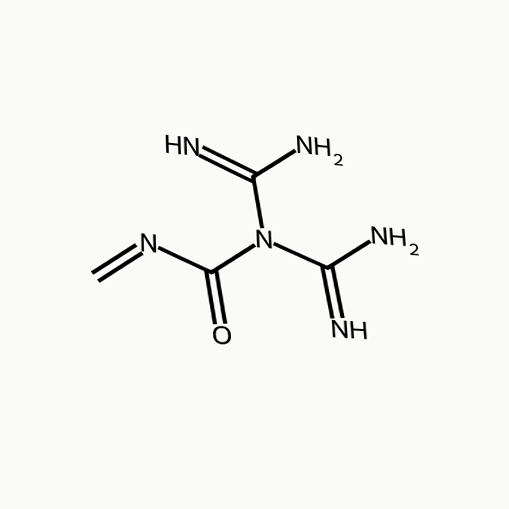 C=NC(=O)N(C(=N)N)C(=N)N